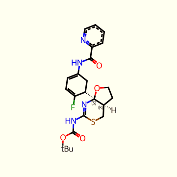 CC(C)(C)OC(=O)NC1=N[C@@]2(C3CC(NC(=O)c4ccccn4)=CC=C3F)OCC[C@H]2CS1